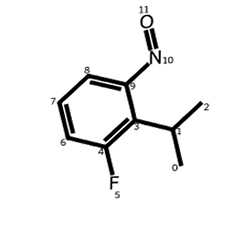 CC(C)c1c(F)cccc1N=O